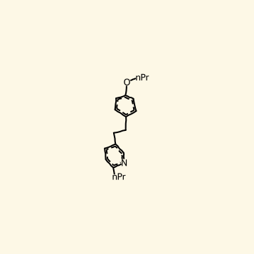 CCCOc1ccc(CCc2ccc(CCC)nc2)cc1